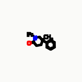 CC(C)N1CC(C)(c2ccccc2)CCC1=O